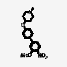 COc1cc(-c2ccc(OC3CCN(C)CC3)cc2)ccc1[N+](=O)[O-]